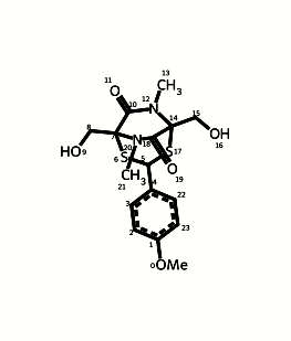 COc1ccc(C2SC3(CO)C(=O)N(C)C(CO)(S2)C(=O)N3C)cc1